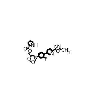 Cc1nnc(-c2ccc(-c3ccc(N4COCO[C@@H](COC(=O)[C@@H]5CCCN5)C4)cc3F)cn2)o1